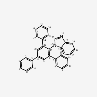 c1ccc(-c2cc(-c3ccccc3)c(-n3cnc4ccccc43)c(-c3ccccc3)c2)cc1